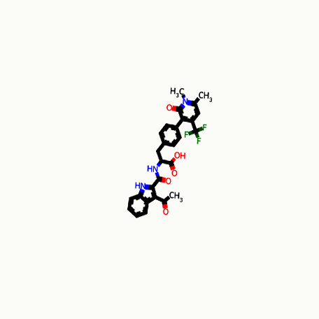 CC(=O)c1c(C(=O)NC(Cc2ccc(-c3c(C(F)(F)F)cc(C)n(C)c3=O)cc2)C(=O)O)[nH]c2ccccc12